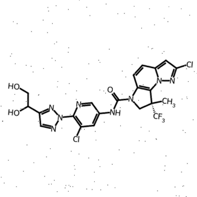 C[C@@]1(C(F)(F)F)CN(C(=O)Nc2cnc(-n3ncc(C(O)CO)n3)c(Cl)c2)c2ccc3cc(Cl)nn3c21